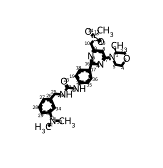 C[C@H]1COCCN1c1cc(CS(C)(=O)=O)nc(-c2ccc(NC(=O)NCc3cccc(N(C)C)c3)cc2)n1